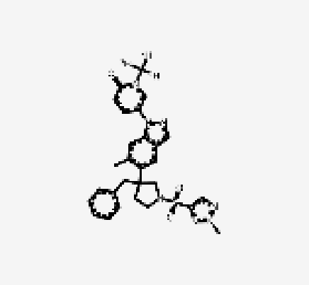 [2H]C([2H])([2H])n1cc(-n2ncc3cc(C4(Cc5ccccc5)CCN(S(=O)(=O)c5cnn(C)n5)C4)c(C)cc32)ccc1=O